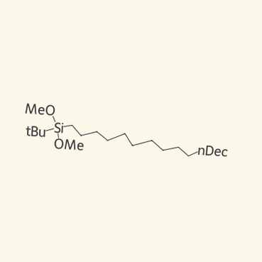 CCCCCCCCCCCCCCCCCCCC[Si](OC)(OC)C(C)(C)C